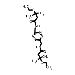 CCOC(C)(C)CC(=O)NCc1nnc(CNC(=O)CC(C)(C)OCC)nn1